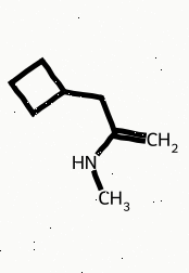 C=C(CC1CCC1)NC